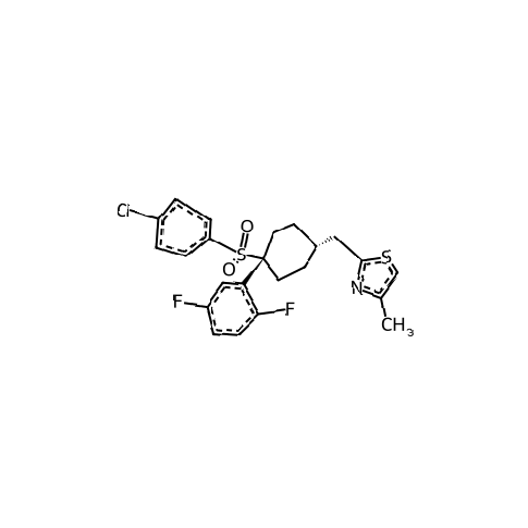 Cc1csc(C[C@H]2CC[C@@](c3cc(F)ccc3F)(S(=O)(=O)c3ccc(Cl)cc3)CC2)n1